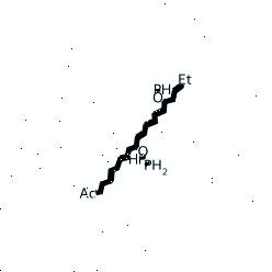 CC/C=C/CC(/C=C/C=C/C=C/C(C/C=C/C/C=C/CCC(C)=O)OPP)OP